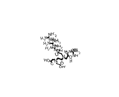 Cl.N=C(N)N.N=C(N)N.N=C(N)N.N=C(N)N.O=C(O)CN(CCN(CC(=O)O)CC(=O)O)CC(=O)O